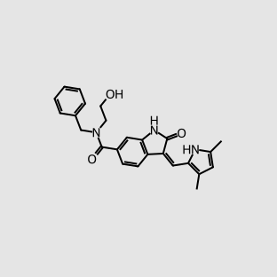 Cc1cc(C)c(/C=C2\C(=O)Nc3cc(C(=O)N(CCO)Cc4ccccc4)ccc32)[nH]1